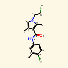 Cc1cc(NC(=O)c2c(C)cn(CCF)c2C)ccc1F